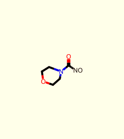 O=NC(=O)N1CCOCC1